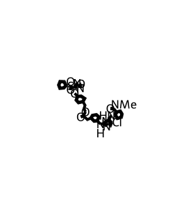 CNC(=O)c1ccccc1Nc1nc(Nc2cccc(CC(=O)OCCc3ccc(Oc4nonc4S(=O)(=O)c4ccccc4)cc3)c2)ncc1Cl